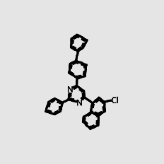 Clc1cc(-c2cc(-c3ccc(-c4ccccc4)cc3)nc(-c3ccccc3)n2)c2ccccc2c1